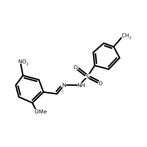 COc1ccc([N+](=O)[O-])cc1/C=N/NS(=O)(=O)c1ccc(C)cc1